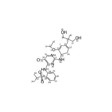 CC(C)OC1=CC(C(C)(CO)CO)=CCC1Nc1ncc(Cl)c(Nc2ccccc2S(=O)(=O)C(C)C)n1